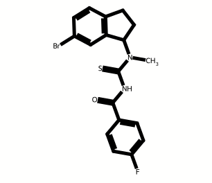 CN(C(=S)NC(=O)c1ccc(F)cc1)C1CCc2ccc(Br)cc21